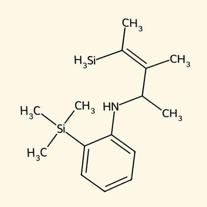 CC([SiH3])=C(C)C(C)Nc1ccccc1[Si](C)(C)C